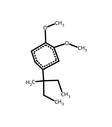 [CH2]C(CC)(CC)c1ccc(OC)c(OC)c1